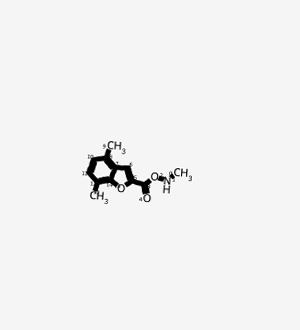 CNOC(=O)c1cc2c(C)ccc(C)c2o1